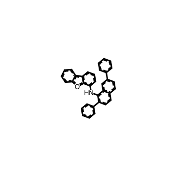 c1ccc(-c2ccc3ccc(-c4ccccc4)c(Nc4cccc5c4oc4ccccc45)c3c2)cc1